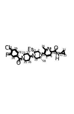 CC[C@H]1CN(c2ccc(C(=O)NC3CC3)nc2C)[C@H](C)CN1C1CCN(C(=O)c2ccc(Cl)c(F)c2)CC1